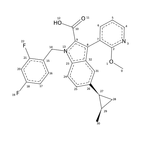 COc1ncccc1-c1c(C(=O)O)n(Cc2ccc(F)cc2F)c2ccc([C@H]3C[C@H]3C)cc12